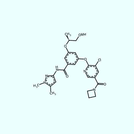 COC[C@H](C)Oc1cc(Oc2ncc(C(=O)N3CCC3)cc2Cl)cc(C(=O)Nc2cc(C)n(C)n2)c1